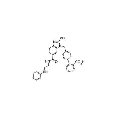 CCCCc1nc2ccc(C(=O)NCCNc3ccccc3)cc2n1Cc1ccc(-c2ccccc2C(=O)O)cc1